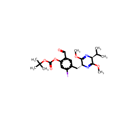 COC1=N[C@H](Cc2cc(C=O)c(OC(=O)OC(C)(C)C)cc2I)C(OC)=N[C@H]1C(C)C